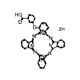 O=C(O)c1cccc(Oc2cccc3c4nc5nc(nc6[nH]c(nc7nc(nc([nH]4)c23)-c2ccccc2-7)c2ccccc62)-c2ccccc2-5)c1.[Zn]